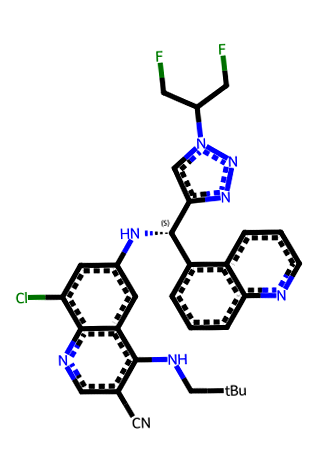 CC(C)(C)CNc1c(C#N)cnc2c(Cl)cc(N[C@H](c3cn(C(CF)CF)nn3)c3cccc4ncccc34)cc12